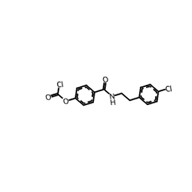 O=C(Cl)Oc1ccc(C(=O)NCCc2ccc(Cl)cc2)cc1